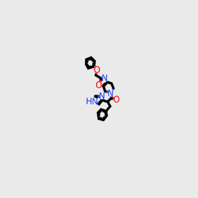 O=C(C(Cc1ccccc1)c1c[nH]cn1)N1CCc2nc(COc3ccccc3)oc2C1